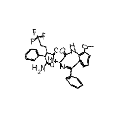 COc1cccc2c1NC(=O)C(NC(=O)[C@H](CCC(F)(F)F)[C@@H](C(N)=O)c1ccccc1)N=C2c1ccccc1